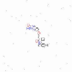 O=C(O)CN(C(=O)CCCCOc1ccc2c(c1)N=C1NC(=O)CN1C2)C(c1ccccc1)c1ccccc1